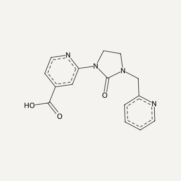 O=C(O)c1ccnc(N2CCN(Cc3ccccn3)C2=O)c1